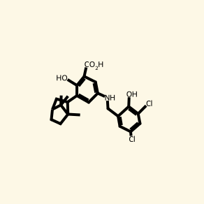 CC1(C)C2CCC1(C)C(c1cc(NCc3cc(Cl)cc(Cl)c3O)cc(C(=O)O)c1O)C2